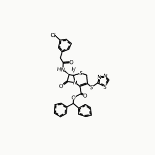 O=C(Cc1cccc(Cl)c1)N[C@@H]1C(=O)N2C(C(=O)OC(c3ccccc3)c3ccccc3)=C(Sc3nncs3)CS[C@H]12